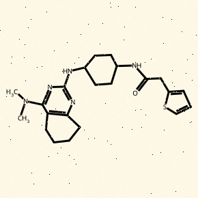 CN(C)c1nc(NC2CCC(NC(=O)Cc3cccs3)CC2)nc2c1CCCC2